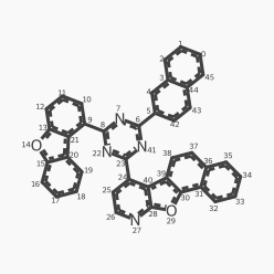 c1ccc2cc(-c3nc(-c4cccc5oc6ccccc6c45)nc(-c4ccnc5oc6c7ccccc7ccc6c45)n3)ccc2c1